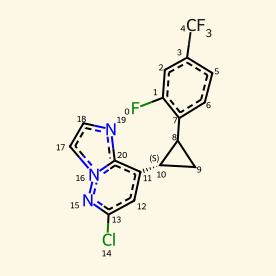 Fc1cc(C(F)(F)F)ccc1C1C[C@@H]1c1cc(Cl)nn2ccnc12